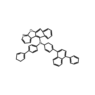 C1=CC(c2ccc(N(c3c4ccccc4cc4oc5ncccc5c34)C3C=CC(c4ccc(-c5ccccc5)c5ccccc45)=CC3)cc2)=CCC1